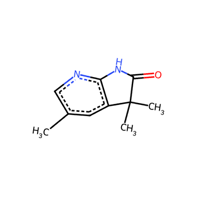 Cc1cnc2c(c1)C(C)(C)C(=O)N2